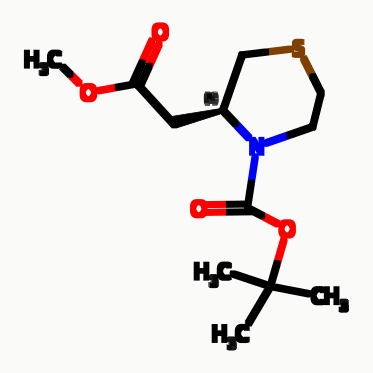 COC(=O)C[C@H]1CSCCN1C(=O)OC(C)(C)C